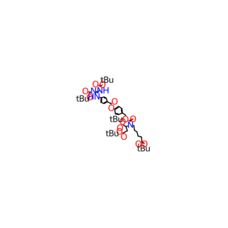 CC(C)(C)OC(=O)CCCCCN(C(=O)OCc1ccc(OC(=O)c2ccc(NC(=NC(=O)OC(C)(C)C)NC(=O)OC(C)(C)C)cc2)cc1)C(CC(=O)OC(C)(C)C)C(=O)OC(C)(C)C